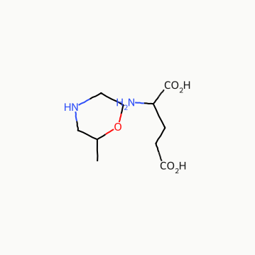 CC1CNCCO1.NC(CCC(=O)O)C(=O)O